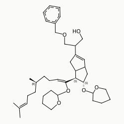 CC(C)=CCC[C@@H](C)CCC=C(OC1CCCCO1)[C@H]1C2CC(C(CO)COCc3ccccc3)=CC2C[C@@H]1OC1CCCCO1